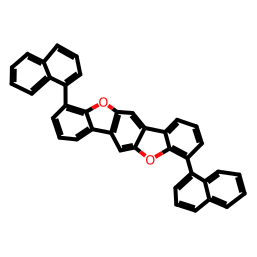 c1ccc2c(-c3cccc4c3oc3cc5c(cc34)oc3c(-c4cccc6ccccc46)cccc35)cccc2c1